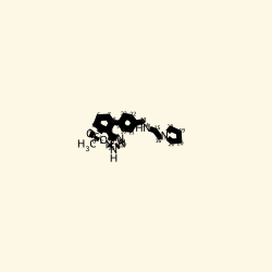 CS(=O)(=O)c1cccc(-c2ccc(CNCCN3CCCC3)cc2)c1-c1nn[nH]n1